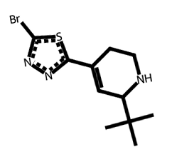 CC(C)(C)C1C=C(c2nnc(Br)s2)CCN1